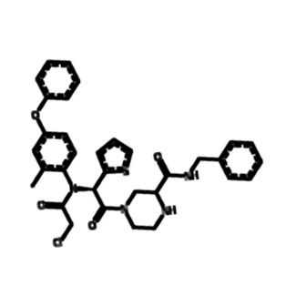 Cc1cc(Oc2ccccc2)ccc1N(C(=O)CCl)[C@H](C(=O)N1CCNC(C(=O)NCc2ccccc2)C1)c1cccs1